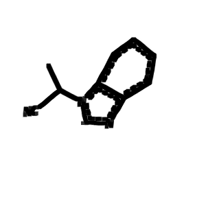 CC(C#N)n1[c]nc2ccccc21